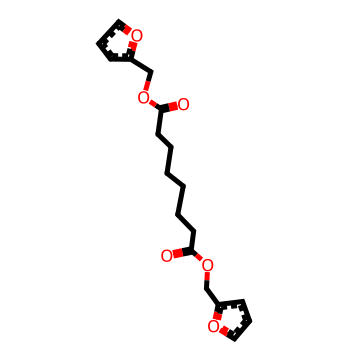 O=C(CCCCCCC(=O)OCc1ccco1)OCc1ccco1